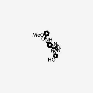 COc1ccccc1C(=O)NCc1ccc(-c2nn(C3C=CC(O)C3)c3ncnc(N)c23)cc1